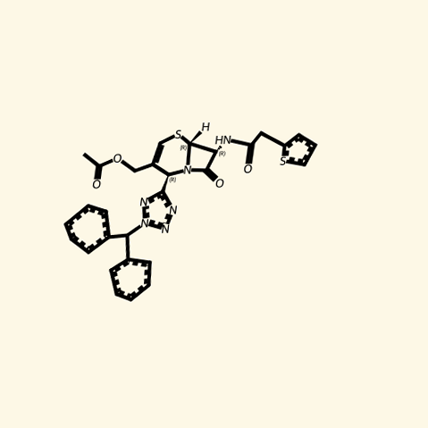 CC(=O)OCC1=CS[C@@H]2[C@H](NC(=O)Cc3cccs3)C(=O)N2[C@H]1c1nnn(C(c2ccccc2)c2ccccc2)n1